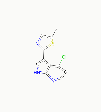 Cc1cnc(-c2c[nH]c3nccc(Cl)c23)s1